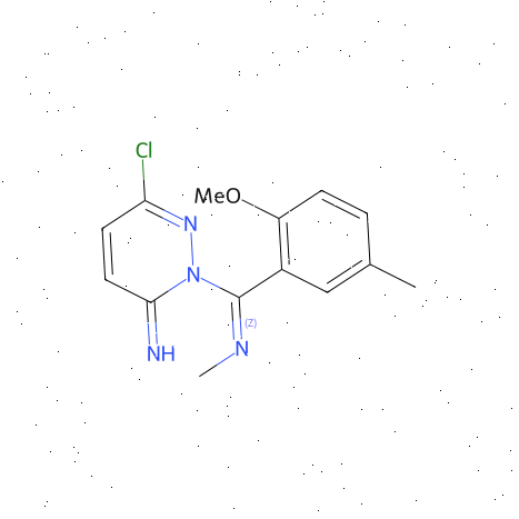 C/N=C(/c1cc(C)ccc1OC)n1nc(Cl)ccc1=N